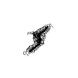 ClC(Cl)(Cl)C(Cl)(Cl)C(Cl)(Cl)C(Cl)(Cl)C(Cl)(Cl)C(Cl)(Cl)C(Cl)(Cl)C(Cl)(Cl)C(Cl)(Cl)C(Cl)(Cl)C(Cl)(Cl)C(Cl)(Cl)C(Cl)(Cl)C(Cl)(Cl)C(Cl)(Cl)C(Cl)(Cl)C(Cl)(Cl)C(Cl)(Cl)C(Cl)(Cl)C(Cl)(Cl)Cl.O=[SH](=O)O